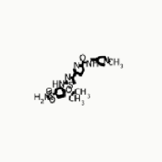 CC(C)Oc1ccc(S(N)(=O)=O)cc1Nc1nc(C2=CCC(C(=O)NCC3CCN(C)CC3)N=C2)cs1